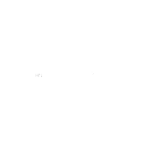 C1=CC2c3ccccc3NC2C=C1c1cccc2c1sc1ccccc12